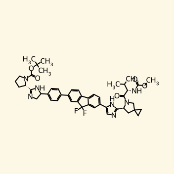 COC(=O)N[C@H](C(=O)N1CC2(CC2)C[C@H]1c1ncc(-c2ccc3c(c2)C(F)(F)c2cc(-c4ccc(C5CN=C([C@@H]6CCCN6C(=O)OC(C)(C)C)N5)cc4)ccc2-3)[nH]1)C(C)C